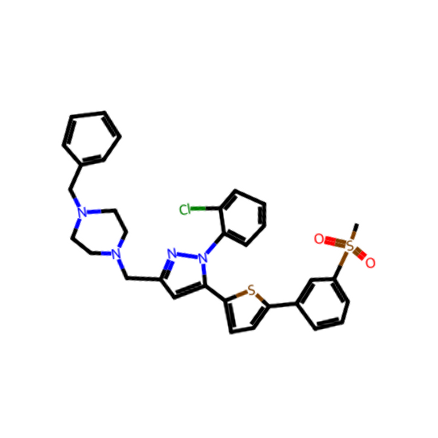 CS(=O)(=O)c1cccc(-c2ccc(-c3cc(CN4CCN(Cc5ccccc5)CC4)nn3-c3ccccc3Cl)s2)c1